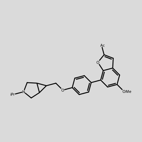 COc1cc(-c2ccc(OCC3C4CN(C(C)C)CC34)cc2)c2oc(C(C)=O)cc2c1